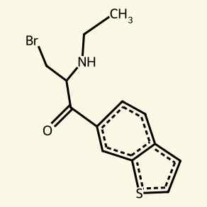 CCNC(CBr)C(=O)c1ccc2ccsc2c1